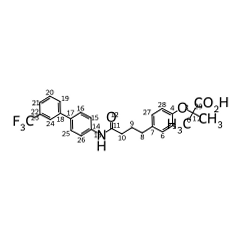 CC(C)(Oc1ccc(CCCC(=O)Nc2ccc(-c3cccc(C(F)(F)F)c3)cc2)cc1)C(=O)O